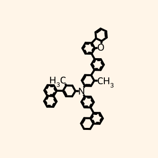 CC1CC(N(C2=CC(C)C(c3cccc(-c4cccc5c4OC4C=CC=CC54)c3)C=C2)c2ccc(-c3cccc4c3C=CCC4)cc2)CC=C1c1cccc2ccccc12